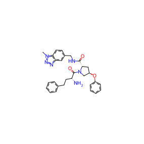 Cn1nnc2cc(CNC(=O)[C@@H]3C[C@@H](Oc4ccccc4)CN3C(=O)[C@H](N)CCc3ccccc3)ccc21